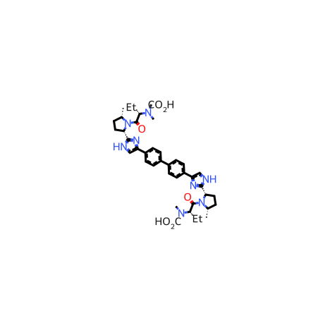 CC[C@@H](C(=O)N1[C@@H](C)CC[C@H]1c1nc(-c2ccc(-c3ccc(-c4c[nH]c([C@@H]5CC[C@H](C)N5C(=O)[C@H](CC)N(C)C(=O)O)n4)cc3)cc2)c[nH]1)N(C)C(=O)O